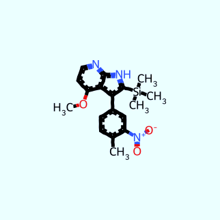 COc1ccnc2[nH]c([Si](C)(C)C)c(-c3ccc(C)c([N+](=O)[O-])c3)c12